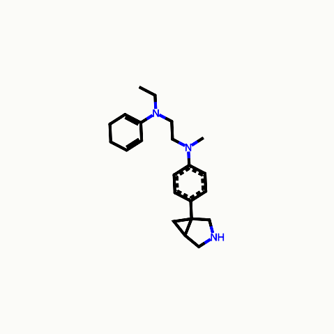 CCN(CCN(C)c1ccc(C23CNCC2C3)cc1)C1=CCCC=C1